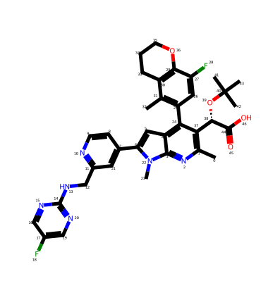 Cc1nc2c(cc(-c3ccnc(CNc4ncc(F)cn4)c3)n2C)c(-c2cc(F)c3c(c2C)CCCO3)c1[C@H](OC(C)(C)C)C(=O)O